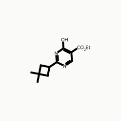 CCOC(=O)c1cnc(C2CC(C)(C)C2)nc1O